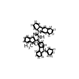 CC1(C)C2=C(N=C(N3c4cc5ccccc5cc4C4C=CC=CC43)NC2c2ccc3c(c2)c2ccccc2n3-c2ccccc2)c2ccccc21